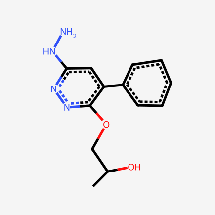 CC(O)COc1nnc(NN)cc1-c1ccccc1